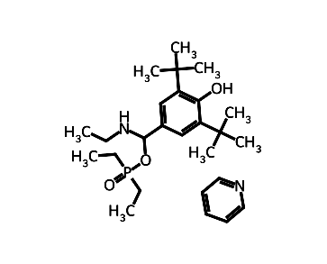 CCNC(OP(=O)(CC)CC)c1cc(C(C)(C)C)c(O)c(C(C)(C)C)c1.c1ccncc1